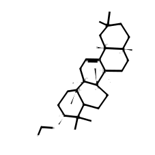 CC1(C(=O)O)CC[C@]2(C)CC[C@]3(C)C(=CC[C@@H]4[C@@]5(C)CC[C@H](OCC(=O)O)C(C)(C)C5CC[C@]43C)[C@@H]2C1